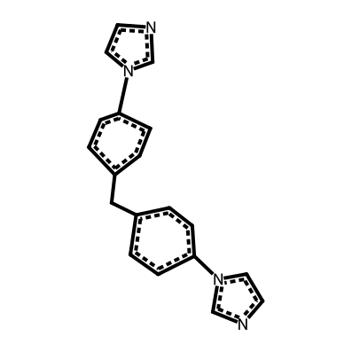 c1cn(-c2ccc(Cc3ccc(-n4ccnc4)cc3)cc2)cn1